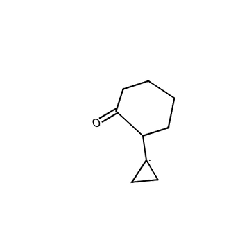 O=C1CCCCC1[C]1CC1